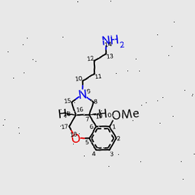 COc1cccc2c1[C@H]1CN(CCCCN)C[C@H]1CO2